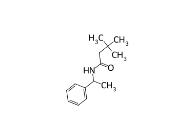 CC(NC(=O)CC(C)(C)C)c1ccccc1